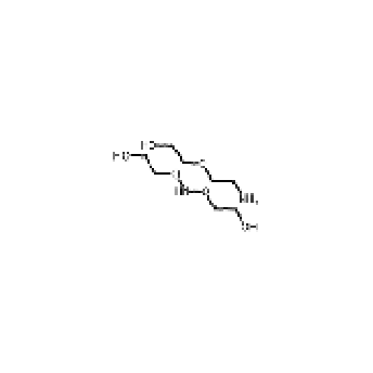 NCCOCCO.OCCONOCCO